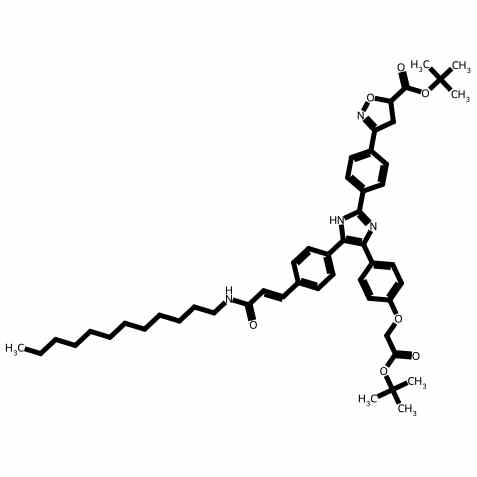 CCCCCCCCCCCCNC(=O)C=Cc1ccc(-c2[nH]c(-c3ccc(C4=NOC(C(=O)OC(C)(C)C)C4)cc3)nc2-c2ccc(OCC(=O)OC(C)(C)C)cc2)cc1